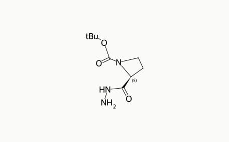 CC(C)(C)OC(=O)N1CC[C@H]1C(=O)NN